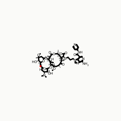 CO[C@]1(C)C[C@@H](C)C(=O)[C@H](C)[C@H]2[C@H](SCCCn3cnc4c(N)ncc(C(=O)Nc5ccncc5)c43)C(=O)O[C@]2(C)[C@@H](I)OC(=O)[C@H](C)[C@H]2O[C@H]3C[C@@](C)(OC)[C@@H](O)[C@H](C[C@@H]4C[C@H](N(C)C)[C@@H](O)[C@@H](O4)O[C@@H]1[C@H]2C)O3